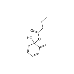 C=C1C=CC=CC1(O)OC(=O)CCC